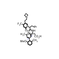 C=C(C)/C=C(\C=C(/F)[C@H](CC(=O)O)NC(=O)C(CC(C)C)n1cc(CCN2CCC2)c(C(F)(F)F)cc1=O)c1c(C)cccc1OC